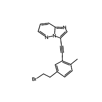 Cc1ccc(CCBr)cc1C#Cc1cnc2cccnn12